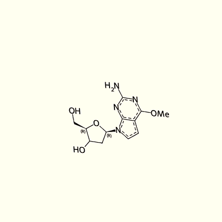 COc1nc(N)nc2c1ccn2[C@H]1CC(O)[C@@H](CO)O1